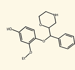 CCOc1cc(O)ccc1OC(c1ccccc1)C1CNCCO1